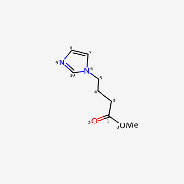 COC(=O)CCCn1ccnc1